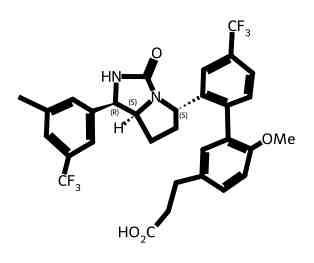 COc1ccc(CCC(=O)O)cc1-c1ccc(C(F)(F)F)cc1[C@@H]1CC[C@H]2[C@@H](c3cc(C)cc(C(F)(F)F)c3)NC(=O)N12